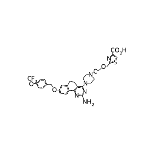 Nc1nc2c(c(N3CCN(CCOCc4nc(C(=O)O)cs4)CC3)n1)CCc1cc(OCc3ccc(OC(F)(F)F)cc3)ccc1-2